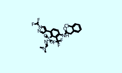 CN(C)C=NS(=O)(=O)c1c(-c2cnn(C(F)F)c2)ccc(NC(=O)Cc2ccccc2Cl)c1C(F)(F)F